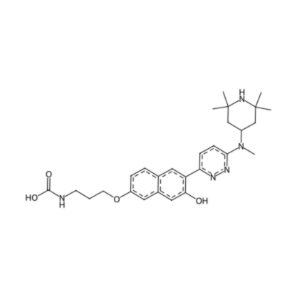 CN(c1ccc(-c2cc3ccc(OCCCNC(=O)O)cc3cc2O)nn1)C1CC(C)(C)NC(C)(C)C1